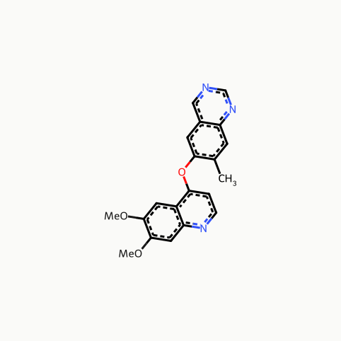 COc1cc2nccc(Oc3cc4cncnc4cc3C)c2cc1OC